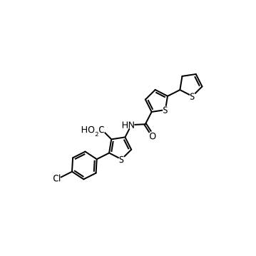 O=C(Nc1csc(-c2ccc(Cl)cc2)c1C(=O)O)c1ccc(C2CC=CS2)s1